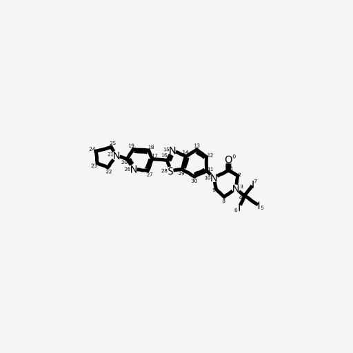 O=C1CN(C(I)(I)I)CCN1c1ccc2nc(-c3ccc(N4CCCC4)nc3)sc2c1